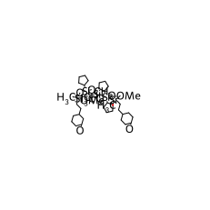 CO[Si](C)(CCC1CCC2OC2C1)O[Si](C)(O[Si](C)(C)O[Si](O[Si](C)(CCC1CCC2OC2C1)OC)(C1CCCC1)C1CCCC1)C1CCCC1